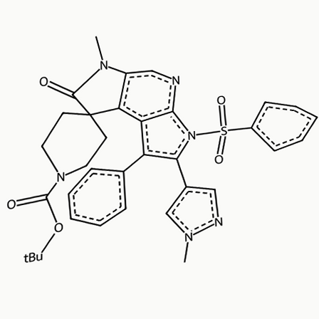 CN1C(=O)C2(CCN(C(=O)OC(C)(C)C)CC2)c2c1cnc1c2c(-c2ccccc2)c(-c2cnn(C)c2)n1S(=O)(=O)c1ccccc1